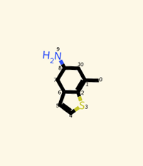 CC1=C2SC=CC2CC(N)C1